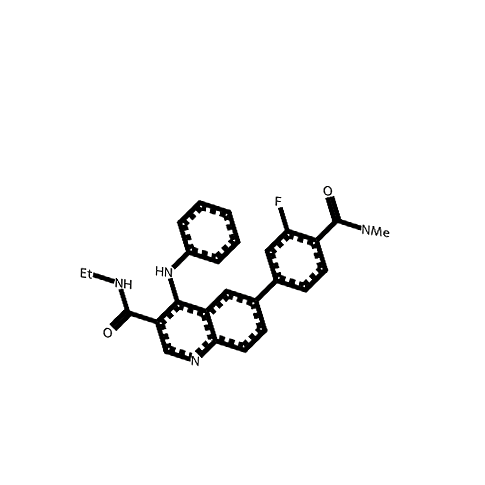 CCNC(=O)c1cnc2ccc(-c3ccc(C(=O)NC)c(F)c3)cc2c1Nc1ccccc1